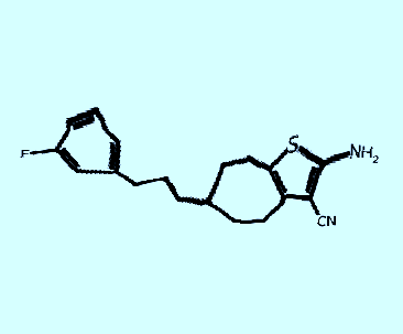 N#Cc1c(N)sc2c1CCC(CCCc1cccc(F)c1)CC2